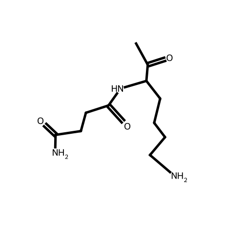 CC(=O)C(CCCCN)NC(=O)CCC(N)=O